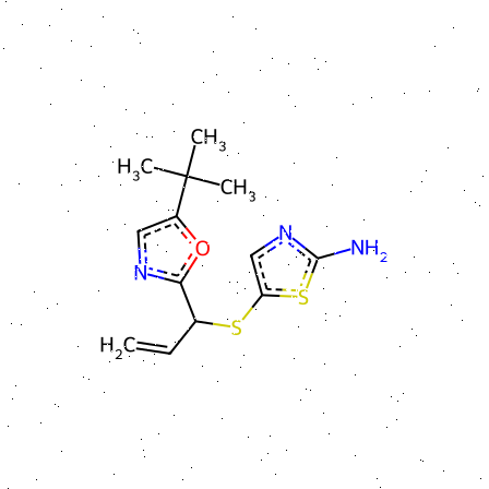 C=CC(Sc1cnc(N)s1)c1ncc(C(C)(C)C)o1